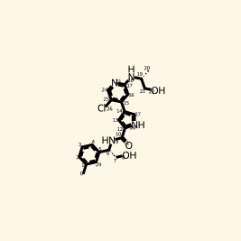 Cc1cccc([C@@H](CO)NC(=O)c2cc(-c3cc(N[C@H](C)CO)ncc3Cl)c[nH]2)c1